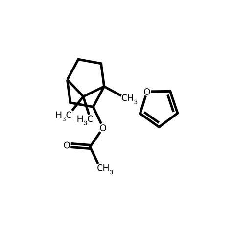 CC(=O)OC1CC2CCC1(C)C2(C)C.c1ccoc1